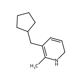 CC1=C(CC2CCCC2)C=CCN1